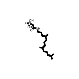 CC(C)=CCCC(C)=CCCC(C)=CCCNC(=O)CP(=O)(O)O